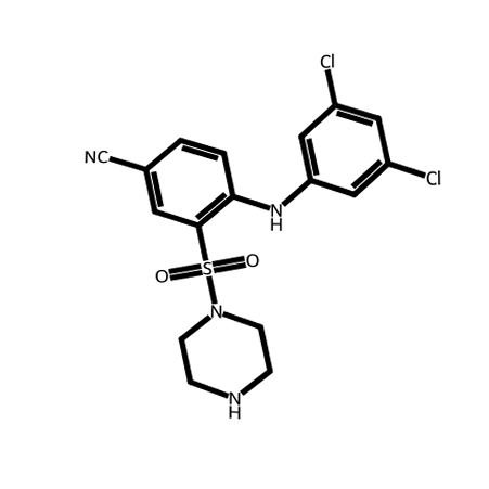 N#Cc1ccc(Nc2cc(Cl)cc(Cl)c2)c(S(=O)(=O)N2CCNCC2)c1